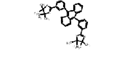 CC1(C)N=C(c2cccc(-c3c4ccccc4c(-c4cccc(C5=NC(C)(C)C(C)(C)S5)c4)c4ccccc34)c2)SC1(C)C